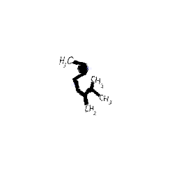 C=C(/C=C\C=C/C)C(C)C